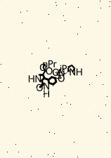 CCCOC(=O)c1c[nH]c2c(=O)[nH]c3ccc(S(=O)(=O)N(C[C@@H]4CCCN4)C(C)C)cc3c12